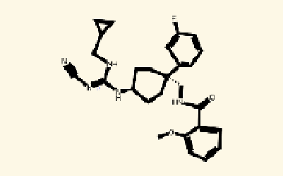 COc1ccccc1C(=O)NC[C@]1(c2cccc(F)c2)CC[C@@H](N/C(=N/C#N)NCC2CC2)CC1